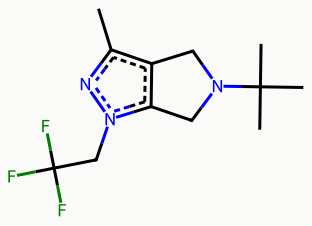 Cc1nn(CC(F)(F)F)c2c1CN(C(C)(C)C)C2